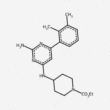 CCOC(=O)N1CCC(Nc2cc(-c3cccc(C)c3C)nc(N)n2)CC1